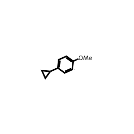 COc1[c]cc(C2CC2)cc1